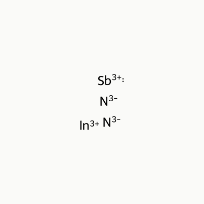 [In+3].[N-3].[N-3].[Sb+3]